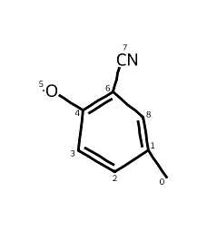 Cc1ccc([O])c(C#N)c1